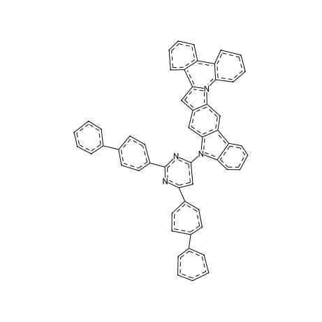 c1ccc(-c2ccc(-c3cc(-n4c5ccccc5c5cc6c(cc54)cc4c5ccccc5c5ccccc5n64)nc(-c4ccc(-c5ccccc5)cc4)n3)cc2)cc1